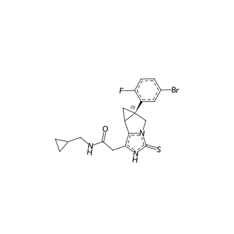 O=C(Cc1[nH]c(=S)n2c1C1C[C@]1(c1cc(Br)ccc1F)C2)NCC1CC1